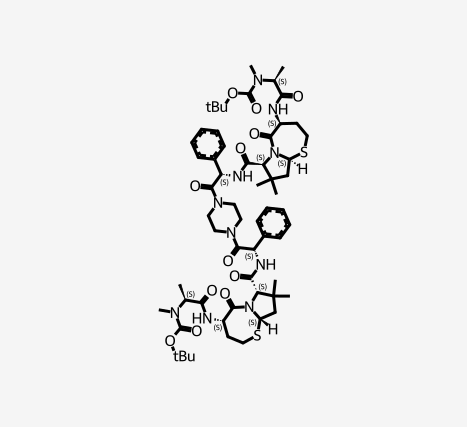 C[C@@H](C(=O)N[C@H]1CCS[C@H]2CC(C)(C)[C@@H](C(=O)N[C@H](C(=O)N3CCN(C(=O)[C@@H](NC(=O)[C@H]4N5C(=O)[C@@H](NC(=O)[C@H](C)N(C)C(=O)OC(C)(C)C)CCS[C@H]5CC4(C)C)c4ccccc4)CC3)c3ccccc3)N2C1=O)N(C)C(=O)OC(C)(C)C